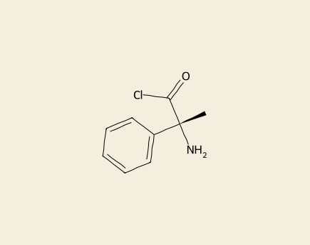 C[C@](N)(C(=O)Cl)c1ccccc1